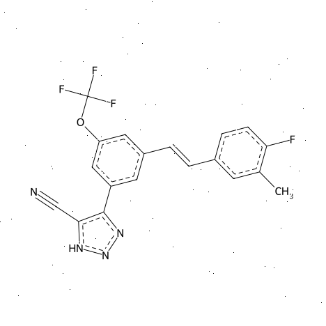 Cc1cc(/C=C/c2cc(OC(F)(F)F)cc(-c3nn[nH]c3C#N)c2)ccc1F